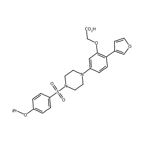 CC(C)Oc1ccc(S(=O)(=O)N2CCN(c3ccc(-c4ccoc4)c(OCC(=O)O)c3)CC2)cc1